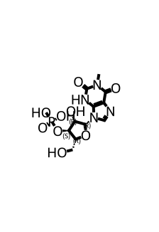 Cn1c(=O)[nH]c2c(ncn2[C@@H]2O[C@H](CO)[C@@H](OP(=O)(O)O)[C@H]2O)c1=O